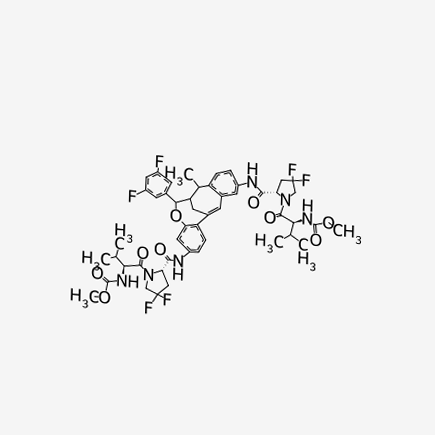 COC(=O)N[C@H](C(=O)N1CC(F)(F)C[C@H]1C(=O)Nc1ccc2c(c1)C=C1CC(C2C)C(c2cc(F)cc(F)c2)Oc2cc(NC(=O)[C@@H]3CC(F)(F)CN3C(=O)[C@@H](NC(=O)OC)C(C)C)ccc21)C(C)C